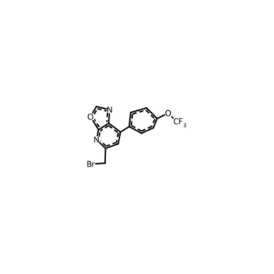 FC(F)(F)Oc1ccc(-c2cc(CBr)nc3ocnc23)cc1